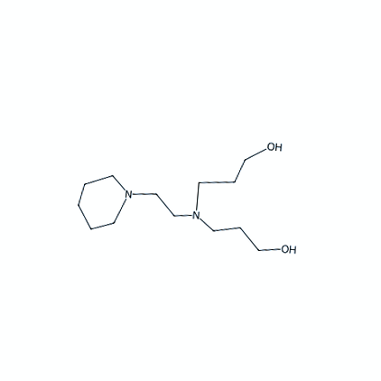 OCCCN(CCCO)CCN1CCCCC1